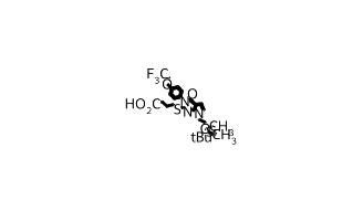 CC(C)(C)[Si](C)(C)OCCn1ccc2c(=O)n(-c3ccc(OCC(F)(F)F)cc3)c(SCCCC(=O)O)nc21